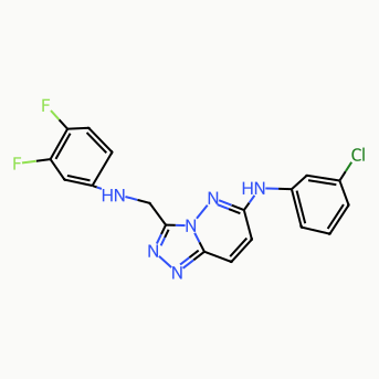 Fc1ccc(NCc2nnc3ccc(Nc4cccc(Cl)c4)nn23)cc1F